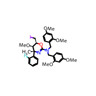 COc1ccc(CN(Cc2ccc(OC)cc2OC)C2=N[C@](C)(c3ccccc3F)[C@@H](OC)[C@@H](CI)O2)c(OC)c1